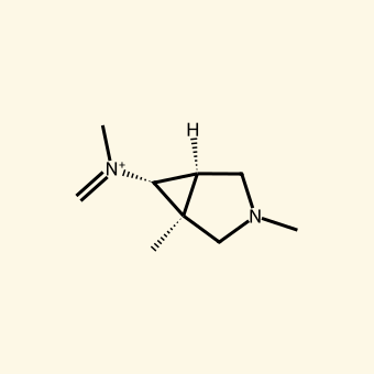 C=[N+](C)[C@@H]1[C@H]2CN(C)C[C@]21C